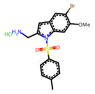 COc1cc2c(cc1Br)cc(CN)n2S(=O)(=O)c1ccc(C)cc1.Cl